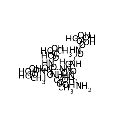 C[C@@H]1O[C@@H](OCCNC(=O)CN(CC(=O)NCCO[C@@H]2O[C@@H](C)[C@@H](O)[C@@H](O)[C@@H]2O)[C@@H](CCCCNC(=O)CN(CC(=O)NCCCCCN)CC(=O)NCCCCCC(=O)NCCO[C@H]2O[C@H](CO)[C@@H](O)[C@H](O)[C@H]2O)C(=O)NCCO[C@@H]2O[C@@H](C)[C@@H](O)[C@@H](O)[C@@H]2O)[C@@H](O)[C@H](O)[C@@H]1O